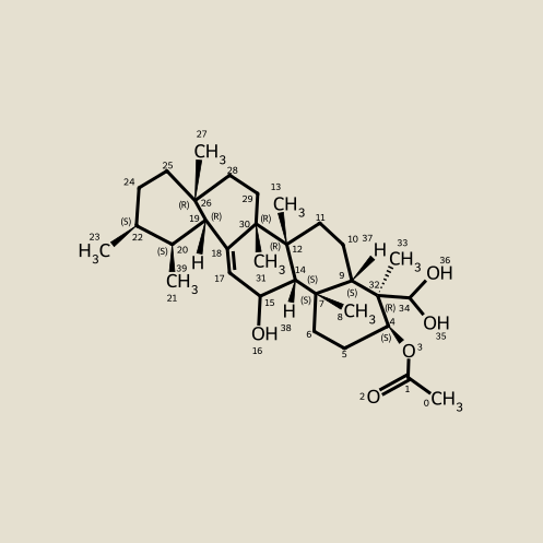 CC(=O)O[C@H]1CC[C@@]2(C)[C@H](CC[C@]3(C)[C@H]2C(O)C=C2[C@@H]4[C@@H](C)[C@@H](C)CC[C@]4(C)CC[C@@]23C)[C@@]1(C)C(O)O